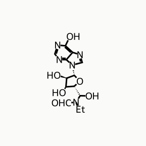 CCN(C=O)C(O)[C@H]1O[C@@H](n2cnc3c(O)ncnc32)[C@H](O)[C@@H]1O